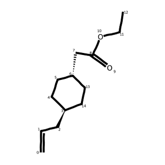 C=CC[C@H]1CC[C@H](CC(=O)OCC)CC1